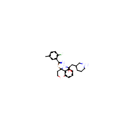 Cc1ccc(F)c(C2=NN(C(=O)CC3CCCNC3)C3(CCOc4ccccc43)S2)c1